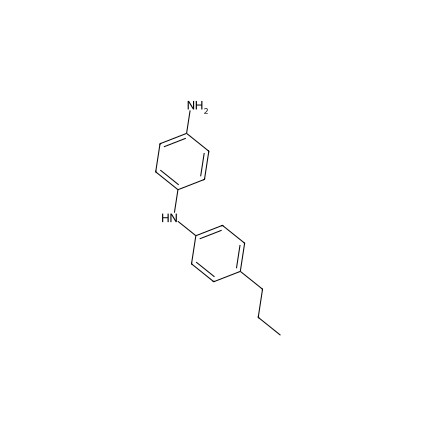 CCCc1ccc(Nc2ccc(N)cc2)cc1